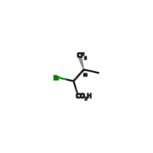 C[C@H](C(Br)C(=O)O)C(F)(F)F